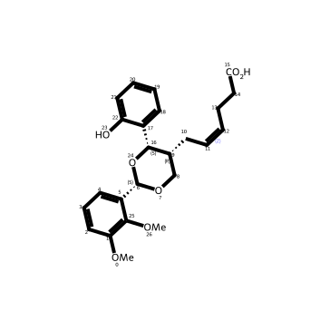 COc1cccc([C@H]2OC[C@@H](C/C=C\CCC(=O)O)[C@@H](c3ccccc3O)O2)c1OC